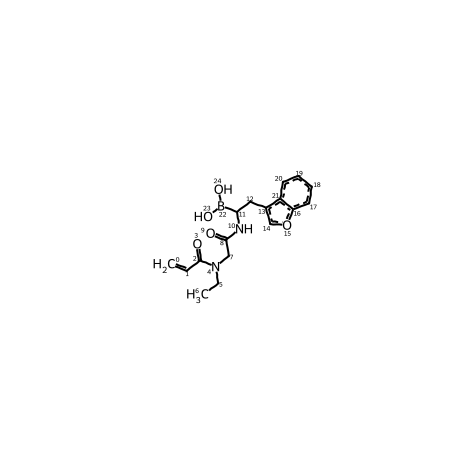 C=CC(=O)N(CC)CC(=O)NC(Cc1coc2ccccc12)B(O)O